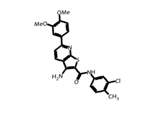 COc1ccc(-c2ccc3c(N)c(C(=O)Nc4ccc(C)c(Cl)c4)sc3n2)cc1OC